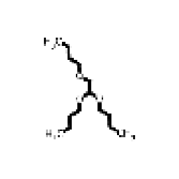 CCCCO[CH]C(OCCCC)OCCCC